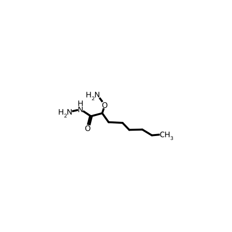 CCCCCCC(ON)C(=O)NN